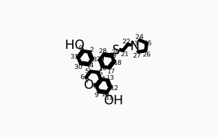 Oc1ccc([C@H]2COc3cc(O)ccc3[C@H]2c2ccc(SCCN3CCCC3)cc2)cc1